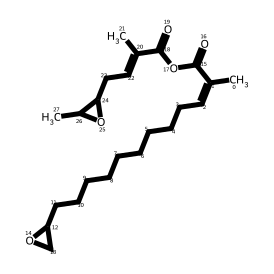 CC(=CCCCCCCCCCC1CO1)C(=O)OC(=O)C(C)=CCC1OC1C